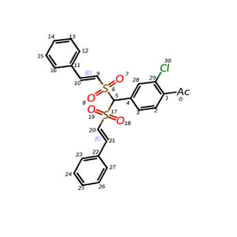 CC(=O)c1ccc(C(S(=O)(=O)/C=C/c2ccccc2)S(=O)(=O)/C=C/c2ccccc2)cc1Cl